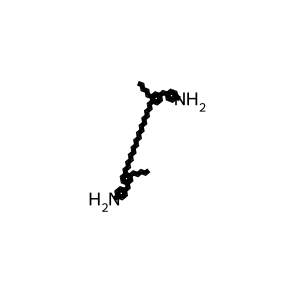 CCCCCc1cc(Cc2ccc(N)cc2)ccc1CCCCCCCCCCCCCCCCCCCc1ccc(Cc2ccc(N)cc2)cc1CCCCC